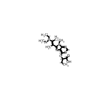 C=NN(CC)/C(C)=C(\C)c1nc2c(OC(CC)C(=O)O)ncnc2n1C